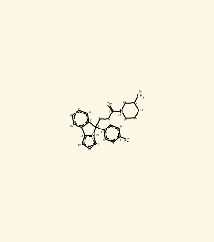 O=C(CCC1(c2ccc(Cl)cc2)c2ccccc2-c2cccn21)N1CCCC(C(F)(F)F)C1